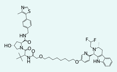 Cc1ncsc1-c1ccc(CNC(=O)[C@@H]2C[C@@H](O)CN2C(=O)C(NC(=O)COCCCCCCCCOc2ccc([C@@H]3c4[nH]c5ccccc5c4C[C@@H](C)N3CC(F)F)nc2)C(C)(C)C)cc1